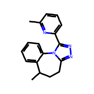 Cc1cccc(-c2nnc3n2-c2ccccc2C(C)CC3)n1